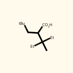 CCC(C)(CC)C(CC(C)(C)C)C(=O)O